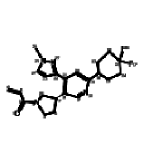 C=CC(=O)N1CC[C@@H](c2cnc(C3CCC(F)(F)CC3)cc2-c2ccn(C)n2)C1